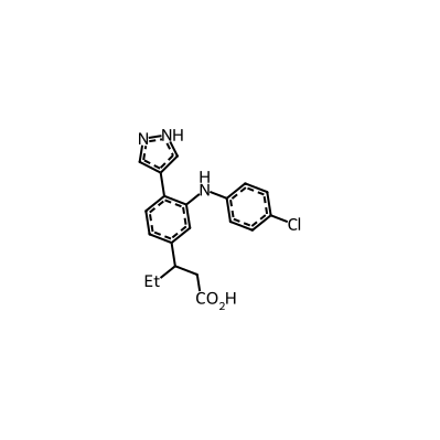 CCC(CC(=O)O)c1ccc(-c2cn[nH]c2)c(Nc2ccc(Cl)cc2)c1